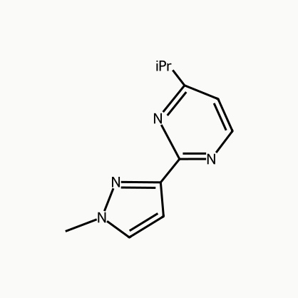 CC(C)c1ccnc(-c2ccn(C)n2)n1